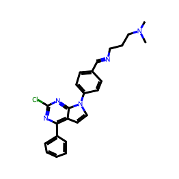 CN(C)CCCN=Cc1ccc(-n2ccc3c(-c4ccccc4)nc(Cl)nc32)cc1